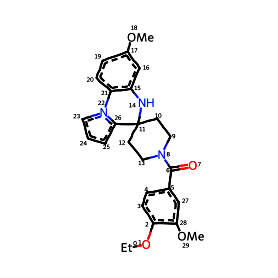 CCOc1ccc(C(=O)N2CCC3(CC2)Nc2cc(OC)ccc2-n2cccc23)cc1OC